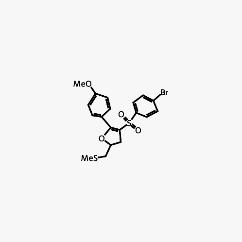 COc1ccc(C2=C(S(=O)(=O)c3ccc(Br)cc3)CC(CSC)O2)cc1